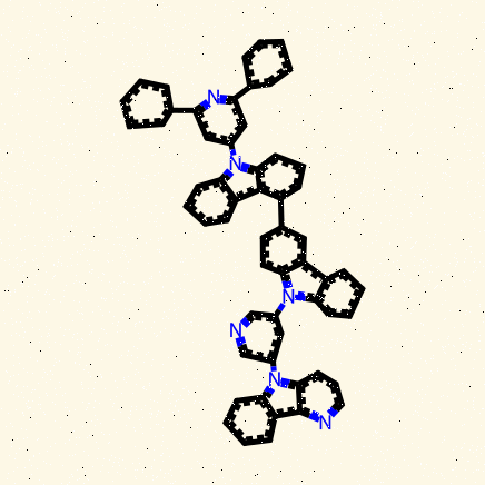 c1ccc(-c2cc(-n3c4ccccc4c4c(-c5ccc6c(c5)c5ccccc5n6-c5cncc(-n6c7ccccc7c7ncccc76)c5)cccc43)cc(-c3ccccc3)n2)cc1